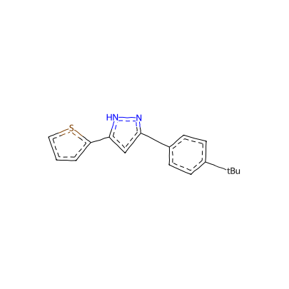 CC(C)(C)c1ccc(-c2cc(-c3cccs3)[nH]n2)cc1